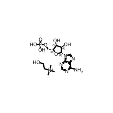 C[N+](C)(C)CCO.Nc1ncnc2c1ncn2[C@@H]1O[C@H](COP(=O)(O)O)[C@@H](O)[C@H]1O